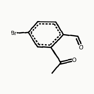 CC(=O)c1cc(Br)ccc1C=O